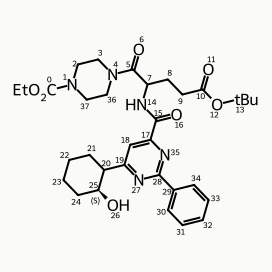 CCOC(=O)N1CCN(C(=O)C(CCC(=O)OC(C)(C)C)NC(=O)c2cc(C3CCCC[C@@H]3O)nc(-c3ccccc3)n2)CC1